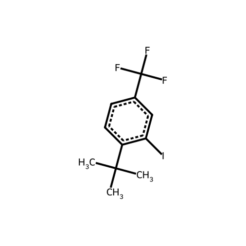 CC(C)(C)c1ccc(C(F)(F)F)cc1I